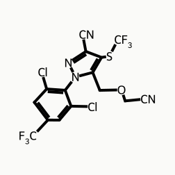 N#CCOCc1c(SC(F)(F)F)c(C#N)nn1-c1c(Cl)cc(C(F)(F)F)cc1Cl